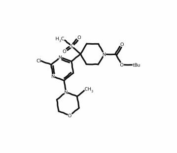 CC1COCCN1c1cc(C2(S(C)(=O)=O)CCN(C(=O)OC(C)(C)C)CC2)nc(Cl)n1